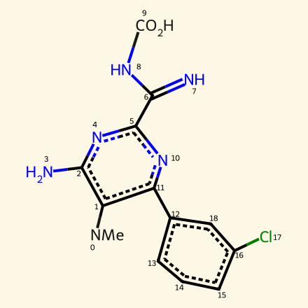 CNc1c(N)nc(C(=N)NC(=O)O)nc1-c1cccc(Cl)c1